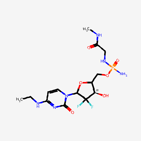 CCNc1ccn(C2OC(COP(N)(=O)NCC(=O)NC)[C@@H](O)C2(F)F)c(=O)n1